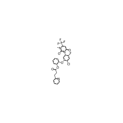 Cn1c(C(F)(F)F)cc(=O)n(-c2cc(Oc3ccccc3OC(=O)CCc3ccccn3)c(Cl)cc2F)c1=O